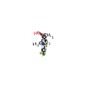 Cc1cc(C=CCc2sc(-c3ccc(C(F)(F)F)cc3)nc2C(C)C)ccc1OCCO